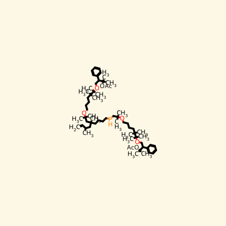 C=CC(C)CC(C)(CCCCPCC(C)(C)OCCCCC(C)(C)C(C)(C)OCC(c1ccccc1)C(C)(C)OC(C)=O)CC(C)(C)OCCCCC(C)(C)C(C)(C)OCC(c1ccccc1)C(C)(C)OC(C)=O